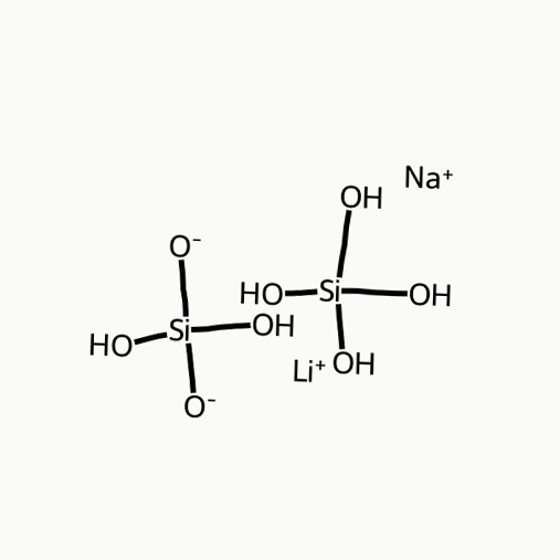 O[Si](O)(O)O.[Li+].[Na+].[O-][Si]([O-])(O)O